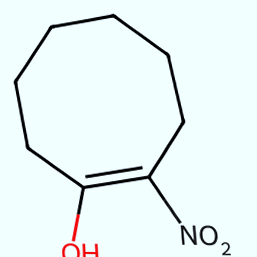 O=[N+]([O-])/C1=C(\O)CCCCCC1